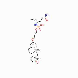 C[C@]12CC[C@H](OCCCOP(=O)(O)N[C@@H](CCC(N)=O)C(=O)O)CC1CCC1C2CC[C@]2(C)C(=O)CCC12